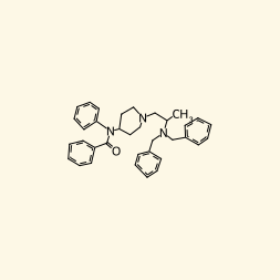 CC(CN1CCC(N(C(=O)c2ccccc2)c2ccccc2)CC1)N(Cc1ccccc1)Cc1ccccc1